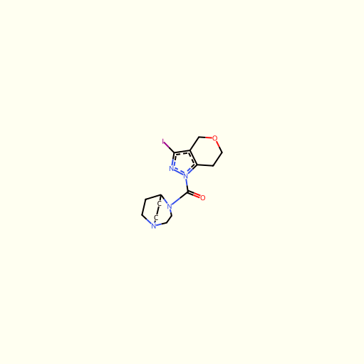 O=C(N1CCN2CCC1CC2)n1nc(I)c2c1CCOC2